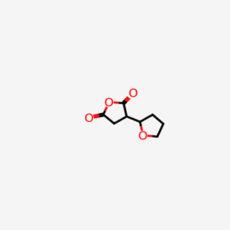 O=C1CC(C2CCCO2)C(=O)O1